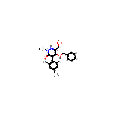 CCc1cc(C)cc(CC)c1-c1c(OCc2ccccc2)c(CO)nn(C)c1=O